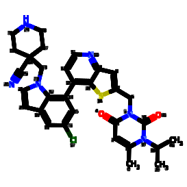 Cc1cc(=O)n(Cc2cc3nccc(-c4cc(Cl)cc5ccn(CC6(C#N)CCNCC6)c45)c3s2)c(=O)n1C(C)C